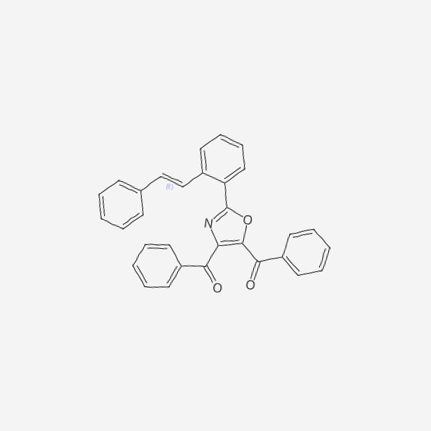 O=C(c1ccccc1)c1nc(-c2ccccc2/C=C/c2ccccc2)oc1C(=O)c1ccccc1